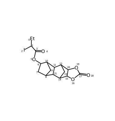 CCC(I)C(=O)OC1CC2CC1C1C3CC(C4OC(=O)OC34)C21